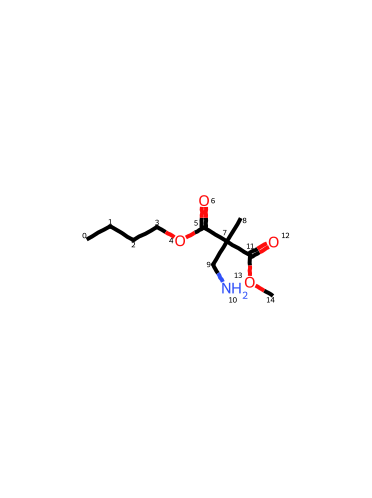 CCCCOC(=O)C(C)(CN)C(=O)OC